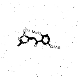 CCCCN1N=C(C)SC1=CC(=O)c1cc(OC)ccc1OC